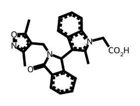 Cc1noc(C)c1CN1C(=O)c2ccccc2C1c1c(C)n(CC(=O)O)c2ccccc12